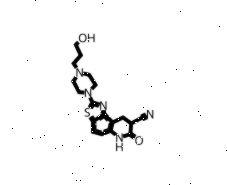 N#CC1Cc2c(ccc3sc(N4CCN(CCCO)CC4)nc23)NC1=O